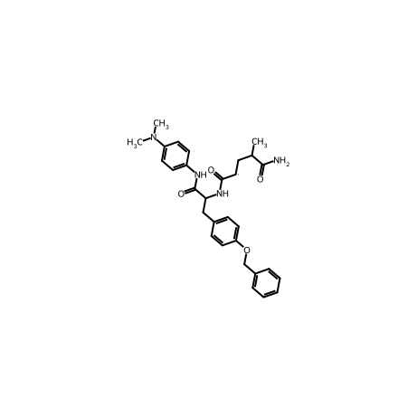 CC(C[CH]C(=O)NC(Cc1ccc(OCc2ccccc2)cc1)C(=O)Nc1ccc(N(C)C)cc1)C(N)=O